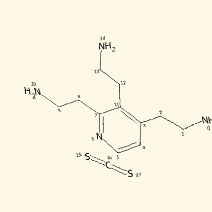 NCCc1ccnc(CCN)c1CCN.S=C=S